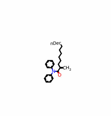 C=C(CCCCCCCCCCCCCCCC)C(=O)N(c1ccccc1)c1ccccc1